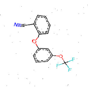 N#Cc1ccccc1Oc1cccc(OC(F)(F)F)c1